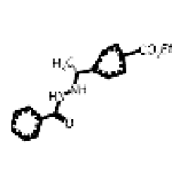 CCOC(=O)c1ccc([C@@H](C)NNC(=O)c2ccccc2)cc1